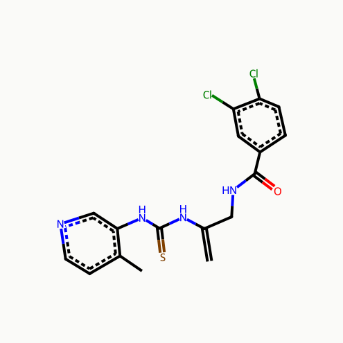 C=C(CNC(=O)c1ccc(Cl)c(Cl)c1)NC(=S)Nc1cnccc1C